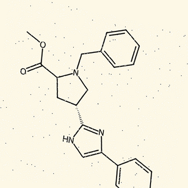 COC(=O)C1C[C@@H](c2nc(-c3ccccc3)c[nH]2)CN1Cc1ccccc1